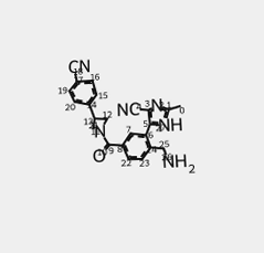 Cc1nc(C#N)c(-c2cc(C(=O)N3CC(c4ccc(C#N)cc4)C3)ccc2CN)[nH]1